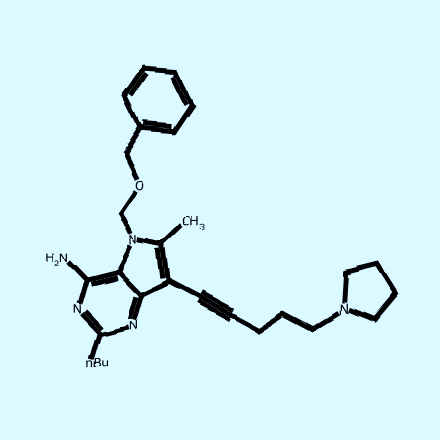 CCCCc1nc(N)c2c(n1)c(C#CCCCN1CCCC1)c(C)n2COCc1ccccc1